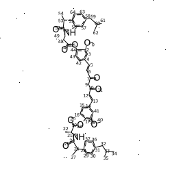 COc1cc(/C=C/C(=O)CC(=O)/C=C/c2ccc(OC(=O)[C@H](C)NC(=O)C(C)c3ccc(CC(C)C)cc3)c(OC)c2)ccc1OC(=O)[C@H](C)NC(=O)C(C)c1ccc(CC(C)C)cc1